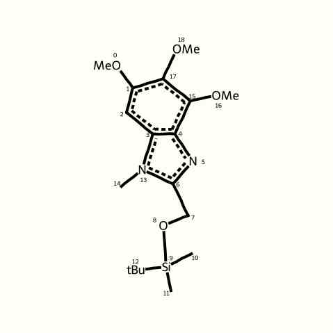 COc1cc2c(nc(CO[Si](C)(C)C(C)(C)C)n2C)c(OC)c1OC